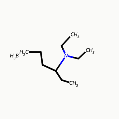 B.CCCC(CC)N(CC)CC